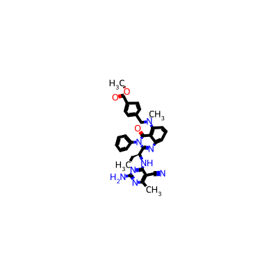 CC[C@H](Nc1nc(N)nc(C)c1C#N)c1nc2cccc(N(C)Cc3ccc(C(=O)OC)cc3)c2c(=O)n1-c1ccccc1